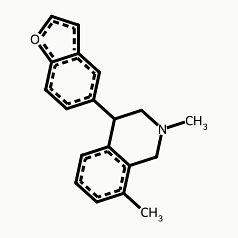 Cc1cccc2c1CN(C)CC2c1ccc2occc2c1